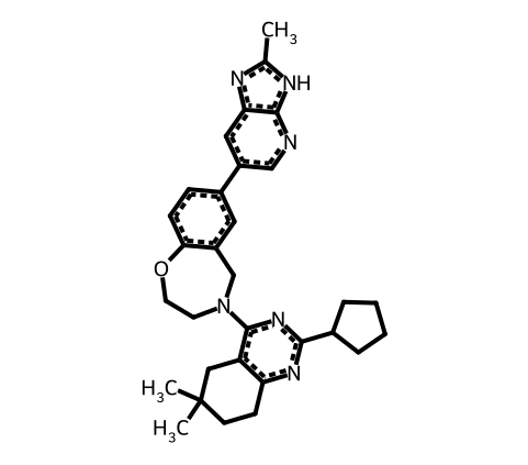 Cc1nc2cc(-c3ccc4c(c3)CN(c3nc(C5CCCC5)nc5c3CC(C)(C)CC5)CCO4)cnc2[nH]1